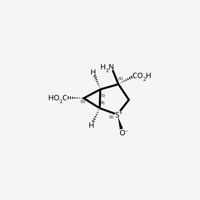 N[C@@]1(C(=O)O)C[S@@+]([O-])[C@H]2[C@H](C(=O)O)[C@H]21